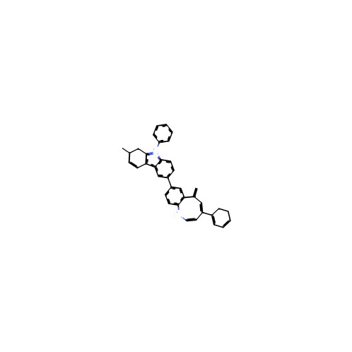 C=C1/C=C(C2=CC=CCC2)\C=C/Nc2ccc(-c3ccc4c(c3)c3c(n4-c4ccccc4)CC(C)C=C3)cc21